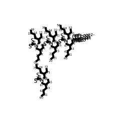 CCCCC(CC)CN(CC(CC)CCCC)C(=S)[S-].CCCCC(CC)CN(CC(CC)CCCC)C(=S)[S-].CCCCC(CC)CN(CC(CC)CCCC)C(=S)[S-].CCCCC(CC)CN(CC(CC)CCCC)C(=S)[S-].[O]=[Mo+4].[O]=[Mo+4].[O]=[Mo+4].[S-2].[S-2].[S-2].[S-2]